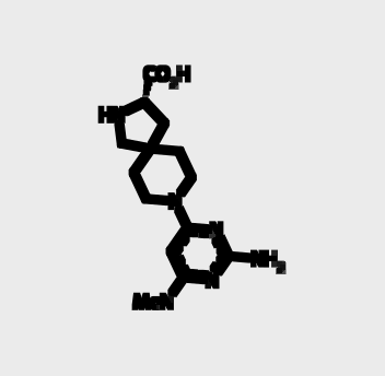 CNc1cc(N2CCC3(CC2)CN[C@H](C(=O)O)C3)nc(N)n1